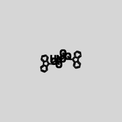 O=C(NOC(=O)OCC1c2ccccc2-c2ccccc21)OCC1c2ccccc2-c2ccccc21